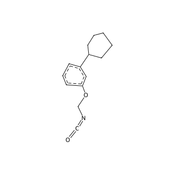 O=C=NCOc1cccc(C2CCCCC2)c1